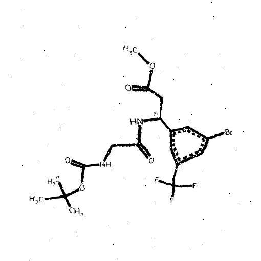 COC(=O)C[C@H](NC(=O)CNC(=O)OC(C)(C)C)c1cc(Br)cc(C(F)(F)F)c1